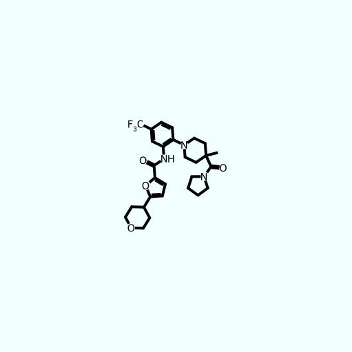 CC1(C(=O)N2CCCC2)CCN(c2ccc(C(F)(F)F)cc2NC(=O)c2ccc(C3CCOCC3)o2)CC1